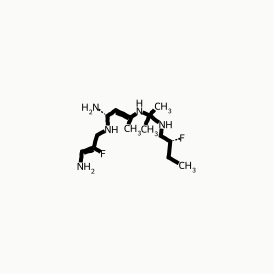 CC[C@@H](F)CNC(C)(C)N/C(C)=C/[C@@H](N)NC/C(F)=C/N